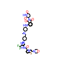 CN(CC1CCC(n2cc(NC(=O)c3ccc4sc(N5CCOCC5)cn34)c(C(F)F)n2)CC1)[C@H]1CC[C@H](Nc2cccc3c2C(=O)N(C2CCC(=O)NC2=O)C3=O)CC1